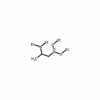 CCO[SiH](CC(C)N(CC)CC)OCC